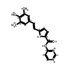 Cc1cc(/C=C/c2ccc(C(=O)Oc3ccncn3)s2)cc(C)c1O